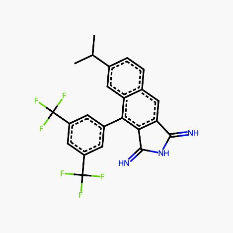 CC(C)c1ccc2cc3c(c(-c4cc(C(F)(F)F)cc(C(F)(F)F)c4)c2c1)C(=N)NC3=N